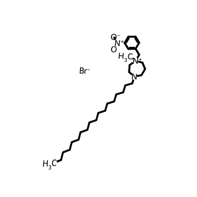 CCCCCCCCCCCCCCCCCCN1CCC[N+](C)(Cc2cccc([N+](=O)[O-])c2)CC1.[Br-]